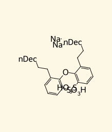 CCCCCCCCCCCCc1cccc(S(=O)(=O)O)c1Oc1c(CCCCCCCCCCCC)cccc1S(=O)(=O)O.[Na].[Na]